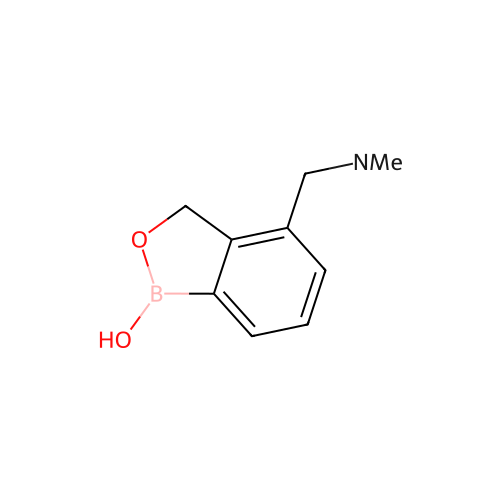 CNCc1cccc2c1COB2O